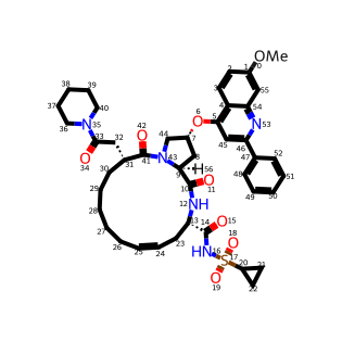 COc1ccc2c(O[C@@H]3C[C@H]4C(=O)N[C@H](C(=O)NS(=O)(=O)C5CC5)CC=CCCCCC[C@H](CC(=O)N5CCCCC5)C(=O)N4C3)cc(-c3ccccc3)nc2c1